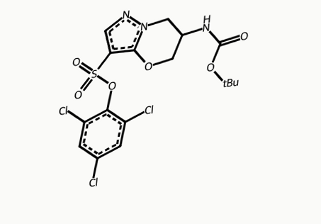 CC(C)(C)OC(=O)NC1COc2c(S(=O)(=O)Oc3c(Cl)cc(Cl)cc3Cl)cnn2C1